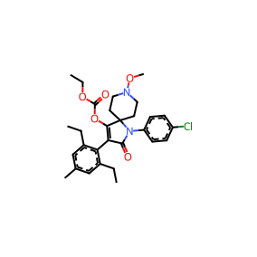 CCOC(=O)OC1=C(c2c(CC)cc(C)cc2CC)C(=O)N(c2ccc(Cl)cc2)C12CCN(OC)CC2